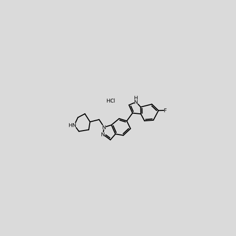 Cl.Fc1ccc2c(-c3ccc4cnn(CC5CCNCC5)c4c3)c[nH]c2c1